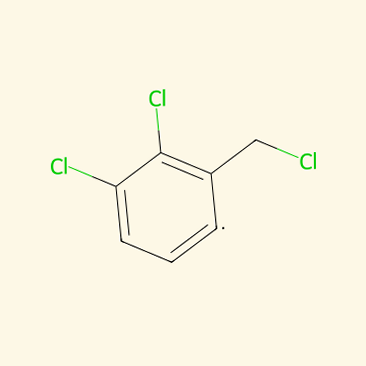 ClCc1[c]ccc(Cl)c1Cl